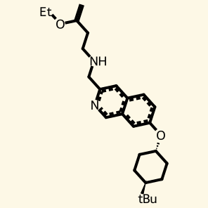 C=C(CCNCc1cc2ccc(O[C@H]3CC[C@H](C(C)(C)C)CC3)cc2cn1)OCC